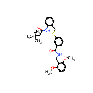 COc1cccc(OC)c1CNC(=O)c1cccc(SCc2ccccc2NC(=O)CC(C)(C)C)c1